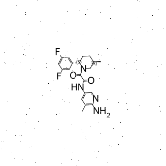 Cc1cc(NC(=O)C(=O)N2C[C@H](C)CC[C@H]2c2cc(F)cc(F)c2)cnc1N